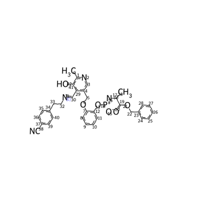 Cc1ncc(COc2ccccc2O[P+]([O-])=N[C@@H](C)C(=O)OCc2ccccc2)c(/C=N/CCc2ccc(C#N)cc2)c1O